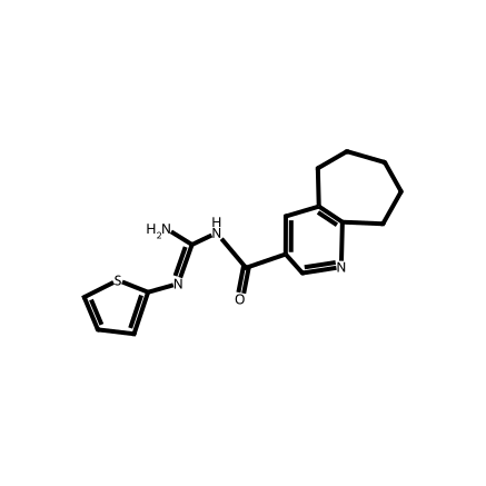 NC(=Nc1cccs1)NC(=O)c1cnc2c(c1)CCCCC2